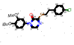 COc1cc(-n2ccnc(SCCc3ccc(Cl)cc3)c2=O)ccc1OCC(C)C